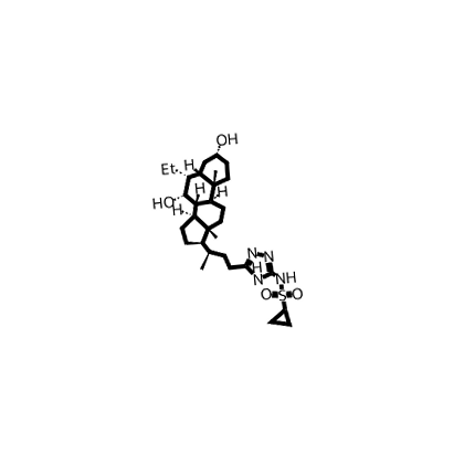 CC[C@H]1[C@@H](O)[C@@H]2[C@H](CC[C@]3(C)[C@@H]([C@H](C)CCc4nnc(NS(=O)(=O)C5CC5)[nH]4)CC[C@@H]23)[C@@]2(C)CC[C@@H](O)C[C@@H]12